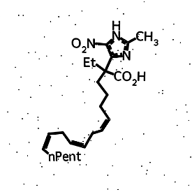 CCCCC/C=C\C/C=C\C/C=C\CCCC(CC)(C(=O)O)c1nc(C)[nH]c1[N+](=O)[O-]